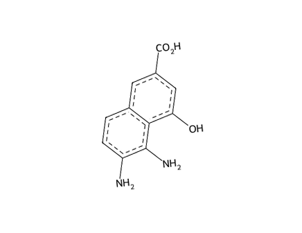 Nc1ccc2cc(C(=O)O)cc(O)c2c1N